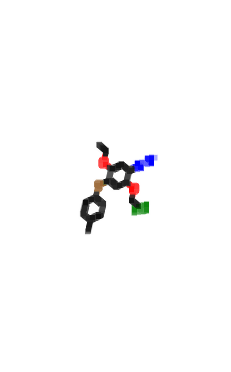 CCOC1=CC(=[N+]=[N-])C(OCC)C=C1Sc1ccc(C)cc1.Cl